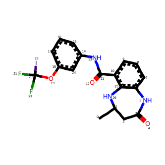 CC1CC(=O)Nc2cccc(C(=O)Nc3cccc(OC(F)(F)I)c3)c2N1